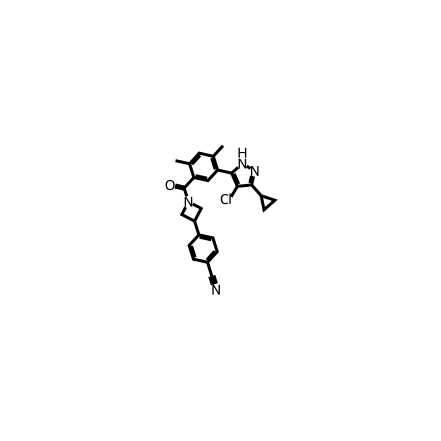 Cc1cc(C)c(-c2[nH]nc(C3CC3)c2Cl)cc1C(=O)N1CC(c2ccc(C#N)cc2)C1